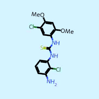 COc1cc(OC)c(NC(=S)Nc2cccc(N)c2Cl)cc1Cl